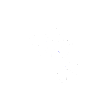 CC(C)(C)c1cc2c3c(c1)-n1c4cc5c(cc4c4cccc(c41)B3c1ccccc1N2c1ccccc1)c1cccc2c3ccccc3n5c21